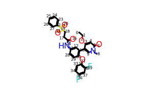 CCOc1cc(=O)n(C)cc1-c1cc(NC(=O)CCS(=O)(=O)c2ccccc2)ccc1Oc1ccc(F)cc1F